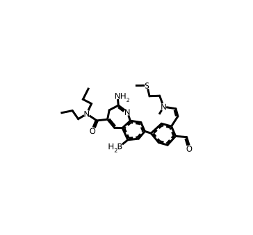 Bc1cc(-c2ccc(C=O)c(/C=C\N(C)CCSC)c2)cc2c1C=C(C(=O)N(CCC)CCC)CC(N)=N2